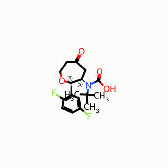 CC(C)(C)N(C(=O)O)[C@H]1CC(=O)CCO[C@@H]1c1cc(F)ccc1F